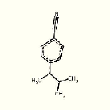 CC(C)C(C)c1ccc(C#N)cc1